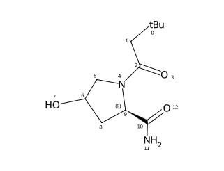 CC(C)(C)CC(=O)N1CC(O)C[C@@H]1C(N)=O